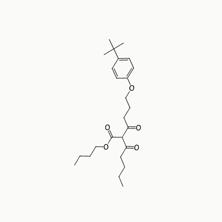 CCCCOC(=O)C(C(=O)CCCC)C(=O)CCCOc1ccc(C(C)(C)C)cc1